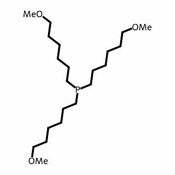 COCCCCCCP(CCCCCCOC)CCCCCCOC